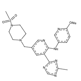 COc1ccc(Nc2ncc(CN3CCN(S(C)(=O)=O)CC3)cc2-c2ncnc(C)n2)cn1